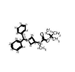 CN(C(=O)OC(C)(C)C)C1CN(C(c2ccccc2)c2ccccc2)C1